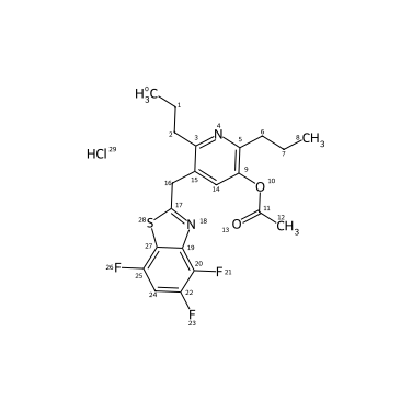 CCCc1nc(CCC)c(OC(C)=O)cc1Cc1nc2c(F)c(F)cc(F)c2s1.Cl